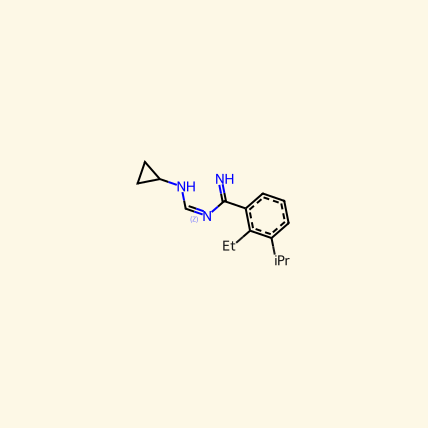 CCc1c(C(=N)/N=C\NC2CC2)cccc1C(C)C